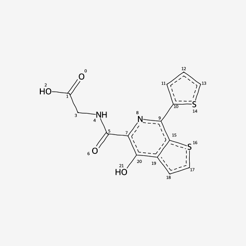 O=C(O)CNC(=O)c1nc(-c2cccs2)c2sccc2c1O